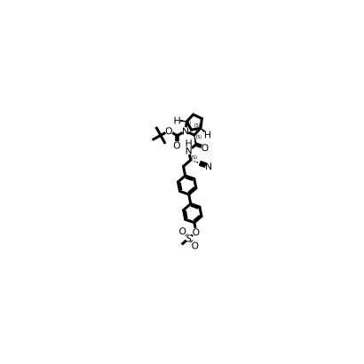 CC(C)(C)OC(=O)N1[C@@H]2CC[C@@H](C2)[C@H]1C(=O)N[C@H](C#N)Cc1ccc(-c2ccc(OS(C)(=O)=O)cc2)cc1